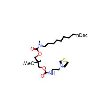 CCCCCCCCCCCCCCCCCCN(C)C(=O)OCC(C)(COC(=O)NCC[n+]1ccsc1)OC